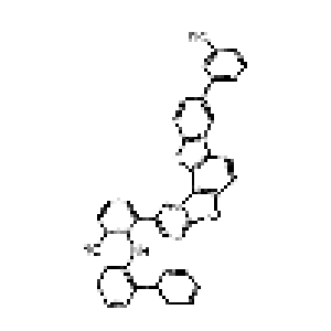 N#Cc1cccc(-c2ccc3oc4c(ccc5oc6ccc(-c7cccc(C#N)c7NC7=C(C8C=CC=CC8)C=CCC7)cc6c54)c3c2)c1